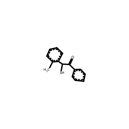 Cc1ccccc1C(S)C(=O)c1ccccc1